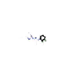 NCN(CN)NC(=S)Nc1cccc(Cl)c1Cl